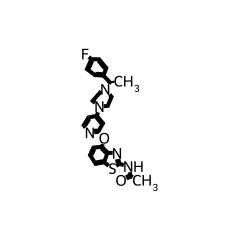 CC(=O)Nc1nc2c(Oc3cc(N4CCN([C@H](C)c5ccc(F)cc5)CC4)ccn3)cccc2s1